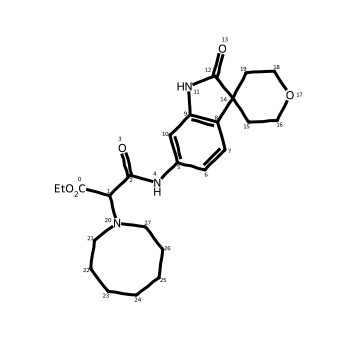 CCOC(=O)C(C(=O)Nc1ccc2c(c1)NC(=O)C21CCOCC1)N1CCCCCCC1